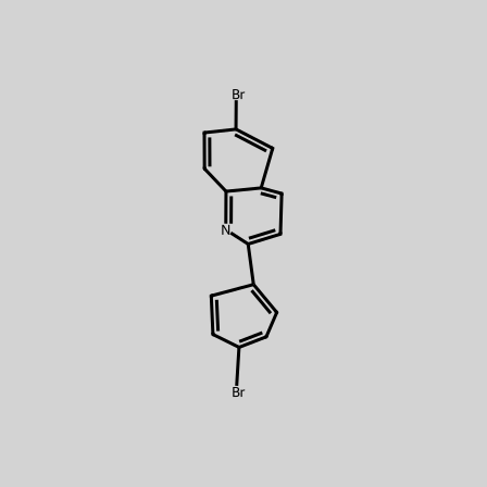 Brc1ccc(-c2ccc3cc(Br)ccc3n2)cc1